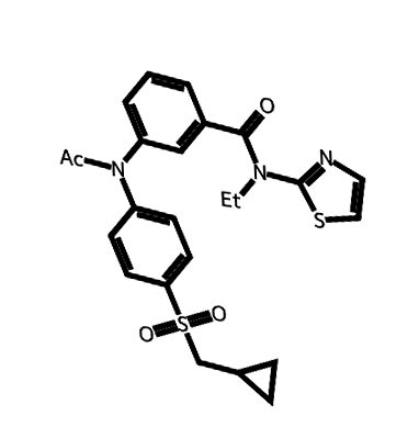 CCN(C(=O)c1cccc(N(C(C)=O)c2ccc(S(=O)(=O)CC3CC3)cc2)c1)c1nccs1